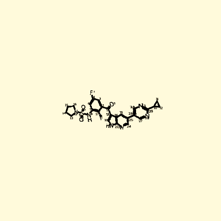 O=C(c1cc(F)cc(NS(=O)(=O)N2CCCC2)c1F)c1c[nH]c2ncc(-c3cnc(C4CC4)nc3)cc12